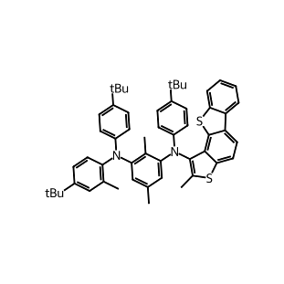 Cc1cc(N(c2ccc(C(C)(C)C)cc2)c2ccc(C(C)(C)C)cc2C)c(C)c(N(c2ccc(C(C)(C)C)cc2)c2c(C)sc3ccc4c5ccccc5sc4c23)c1